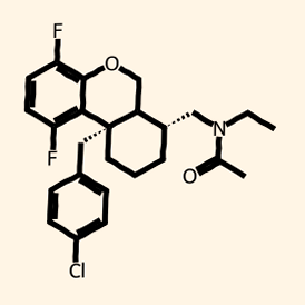 CCN(C[C@@H]1CCC[C@@]2(Cc3ccc(Cl)cc3)c3c(F)ccc(F)c3OCC12)C(C)=O